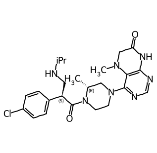 CC(C)NC[C@@H](C(=O)N1CCN(c2ncnc3c2N(C)CC(=O)N3)C[C@H]1C)c1ccc(Cl)cc1